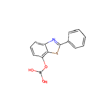 OB(O)Oc1cccc2nc(-c3ccccc3)sc12